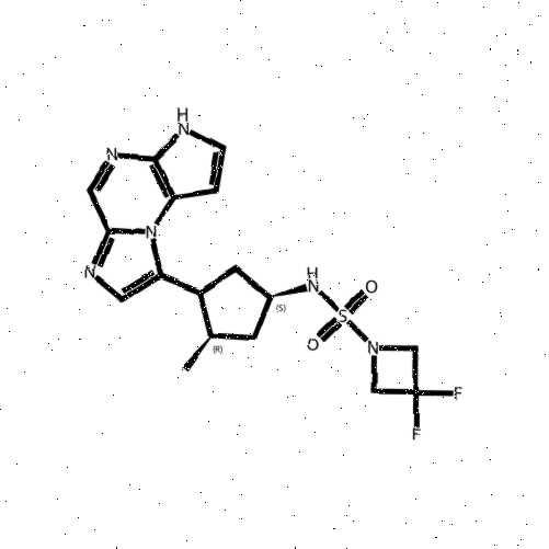 C[C@@H]1C[C@H](NS(=O)(=O)N2CC(F)(F)C2)CC1c1cnc2cnc3[nH]ccc3n12